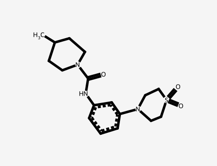 CC1CCN(C(=O)Nc2cccc(N3CCS(=O)(=O)CC3)c2)CC1